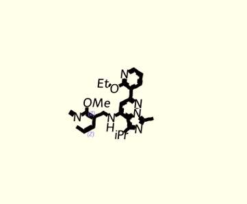 C=N/C(OC)=C(\C=C/C)CNc1cc(-c2cccnc2OCC)nn2c(C)nc(C(C)C)c12